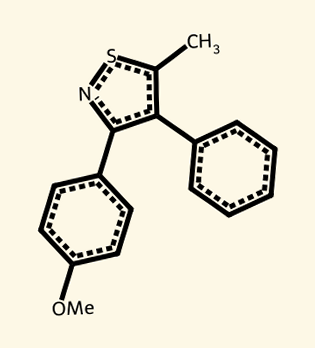 COc1ccc(-c2nsc(C)c2-c2ccccc2)cc1